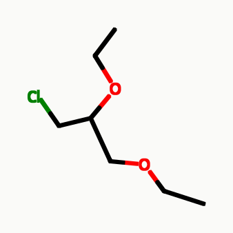 CCOCC(CCl)OCC